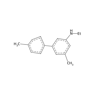 CCNc1cc(C)cc(-c2ccc(C)cc2)c1